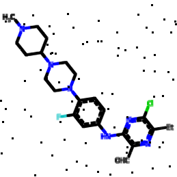 CCc1nc(C=O)c(Nc2ccc(N3CCN(C4CCN(C)CC4)CC3)c(F)c2)nc1Cl